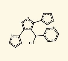 OC(c1cccnc1)c1c(-c2cccs2)noc1-c1ccsc1